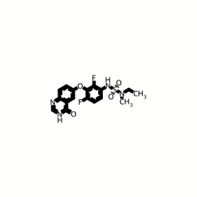 CCN(C)S(=O)(=O)Nc1ccc(F)c(Oc2ccc3nc[nH]c(=O)c3c2)c1F